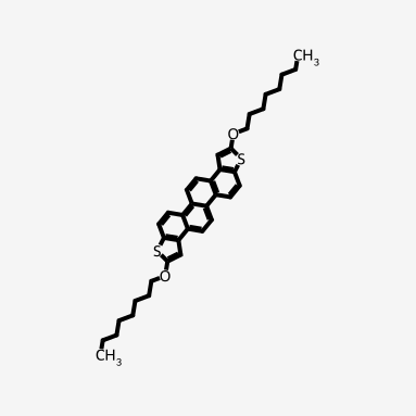 CCCCCCCCOc1cc2c(ccc3c2ccc2c4ccc5sc(OCCCCCCCC)cc5c4ccc32)s1